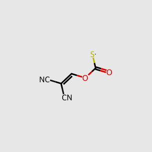 N#CC(C#N)=COC(=O)[S]